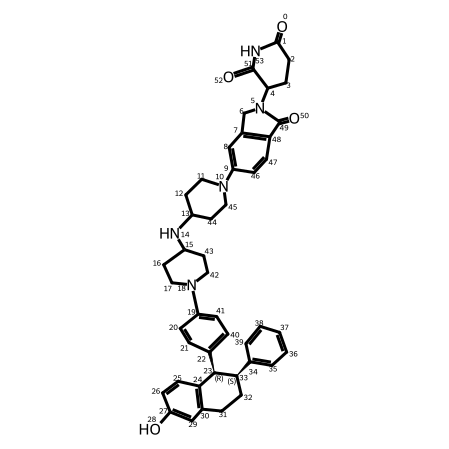 O=C1CCC(N2Cc3cc(N4CCC(NC5CCN(c6ccc([C@@H]7c8ccc(O)cc8CC[C@@H]7c7ccccc7)cc6)CC5)CC4)ccc3C2=O)C(=O)N1